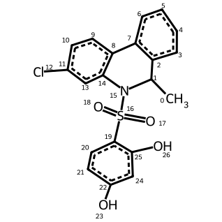 CC1c2ccccc2-c2ccc(Cl)cc2N1S(=O)(=O)c1ccc(O)cc1O